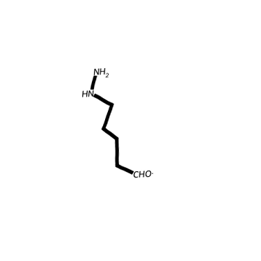 NNCCCC[C]=O